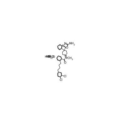 CN(C(=O)c1ccccc1CCCCc1ccc(Cl)c(Cl)c1)N1CCC(c2ccccc2)(c2nnc(N)o2)CC1.Cl.Cl.O.O